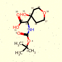 CC(C)(C)OC(=O)NC(C(=O)O)C1(O)CCOCC1